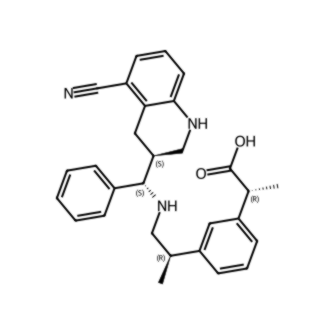 C[C@@H](CN[C@H](c1ccccc1)[C@@H]1CNc2cccc(C#N)c2C1)c1cccc([C@@H](C)C(=O)O)c1